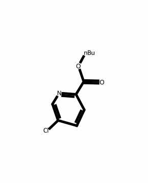 CCCCOC(=O)c1ccc(Cl)cn1